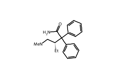 CC[C@H](CNC)C(C(N)=O)(c1ccccc1)c1ccccc1